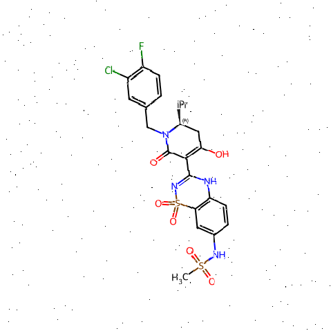 CC(C)[C@H]1CC(O)=C(C2=NS(=O)(=O)c3cc(NS(C)(=O)=O)ccc3N2)C(=O)N1Cc1ccc(F)c(Cl)c1